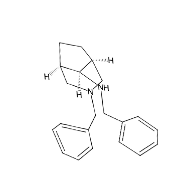 c1ccc(CN[C@H]2[C@@H]3CC[C@H]2CN(Cc2ccccc2)C3)cc1